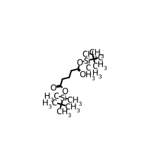 CC(C)(C)[Si](C)(C)OC(=O)CCCC(=O)O[Si](C)(C)C(C)(C)C